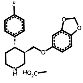 CC(=O)O.Fc1ccc([C@H]2CCNC[C@@H]2COc2ccc3c(c2)OCO3)cc1